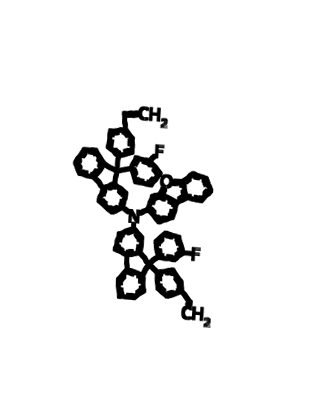 C=Cc1ccc(C2(c3cccc(F)c3)c3ccccc3-c3ccc(N(c4ccc5c(c4)C(c4ccc(C=C)cc4)(c4cccc(F)c4)c4ccccc4-5)c4ccc5c(c4)oc4ccccc45)cc32)cc1